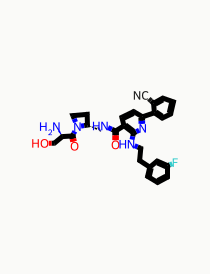 N#Cc1ccccc1-c1ccc(C(=O)NC[C@H]2CCN2C(=O)[C@@H](N)CO)c(NCCc2cccc(F)c2)n1